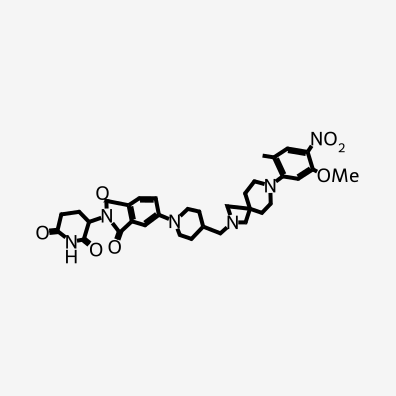 COc1cc(N2CCC3(CC2)CN(CC2CCN(c4ccc5c(c4)C(=O)N(C4CCC(=O)NC4=O)C5=O)CC2)C3)c(C)cc1[N+](=O)[O-]